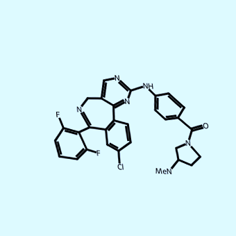 CNC1CCN(C(=O)c2ccc(Nc3ncc4c(n3)-c3ccc(Cl)cc3C(c3c(F)cccc3F)=NC4)cc2)C1